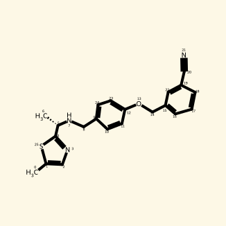 Cc1cnc([C@H](C)NCc2ccc(OCc3cccc(C#N)c3)cc2)s1